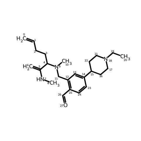 C=CCCC(C(=C)NC)N(C)Cc1cc(C2CCN(CC)CC2)ccc1C=O